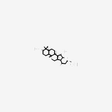 C[C@@H]1C[C@H](CO)OC2C1[C@@]1(C)CC[C@@]34C[C@@]35CC[C@H](O)C(C)(C)[C@@H]5CC[C@H]4[C@]1(C)[C@H]2O